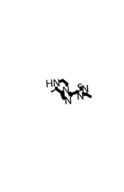 Cc1nsc(-c2ncc3n2CCN[C@@H]3C)n1